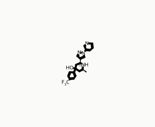 C[C@H]1CC(O)(c2ccc(C(F)(F)F)cc2)C[C@@H](c2cnn(-c3cccnc3)c2)N1